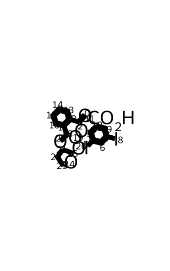 O=C(Oc1c(I)cc(I)cc1C(=O)O)c1ccccc1C(=O)OC1CCOC1=O